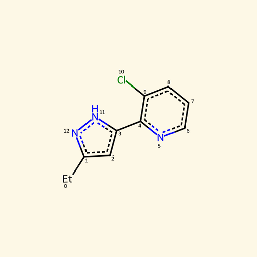 CCc1[c]c(-c2ncccc2Cl)[nH]n1